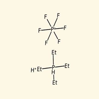 CC[PH](CC)(CC)CC.F[P-](F)(F)(F)(F)F.[H+]